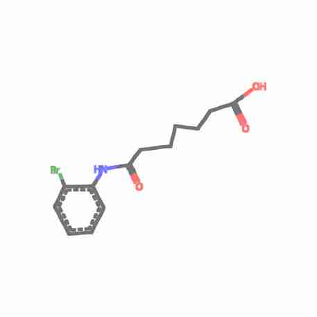 O=C(O)CCCCCC(=O)Nc1ccccc1Br